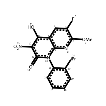 COc1nc2c(cc1F)c(O)c([N+](=O)[O-])c(=O)n2-c1ccccc1C(C)C